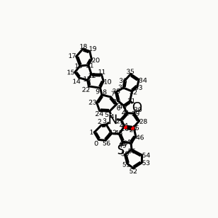 c1ccc(N(c2ccc(-c3ccc4c(ccc5ccccc54)c3)cc2)c2cccc3oc4c5ccccc5ccc4c23)c(-c2cccc3c2sc2ccccc23)c1